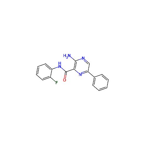 Nc1ncc(-c2ccccc2)nc1C(=O)Nc1ccccc1F